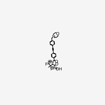 COC(C)(C(F)F)C(NC(=O)c1ccc(C#Cc2ccc(CN3CCOCC3)cc2)cc1)C(=O)NO